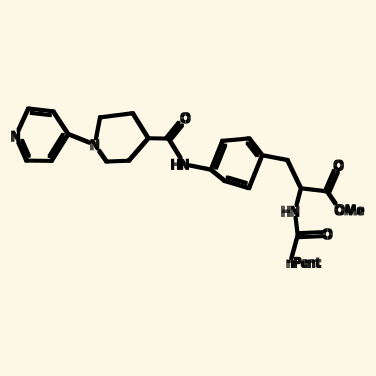 CCCCCC(=O)NC(Cc1ccc(NC(=O)C2CCN(c3ccncc3)CC2)cc1)C(=O)OC